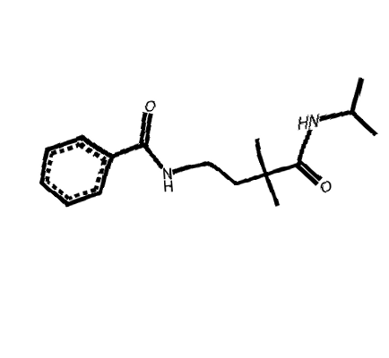 CC(C)NC(=O)C(C)(C)CCNC(=O)c1ccccc1